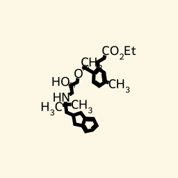 CCOC(=O)CCc1cc(C)ccc1[C@@H](C)OC[C@H](O)CNC(C)(C)CC1Cc2ccccc2C1